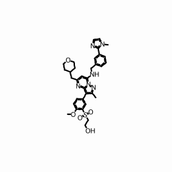 COc1ccc(-c2c(C)nn3c(NCc4cccc(-c5nccn5C)c4)cc(CC4CCOCC4)nc23)cc1S(=O)(=O)CCO